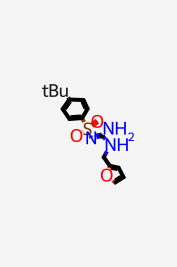 CC(C)(C)c1ccc(S(=O)(=O)/N=C(\N)NCc2ccco2)cc1